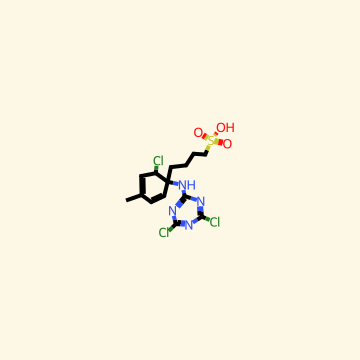 CC1=CC(Cl)C(CCCCS(=O)(=O)O)(Nc2nc(Cl)nc(Cl)n2)C=C1